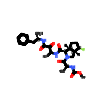 CCCC(NC(=O)[C@@H]1[C@H]2CC[C@H](F)[C@H]2CN1C(=O)[C@@H](NC(=O)OC(C)C)C(C)(C)C)C(=O)C(=O)N[C@H](Cc1ccccc1)C(=O)O